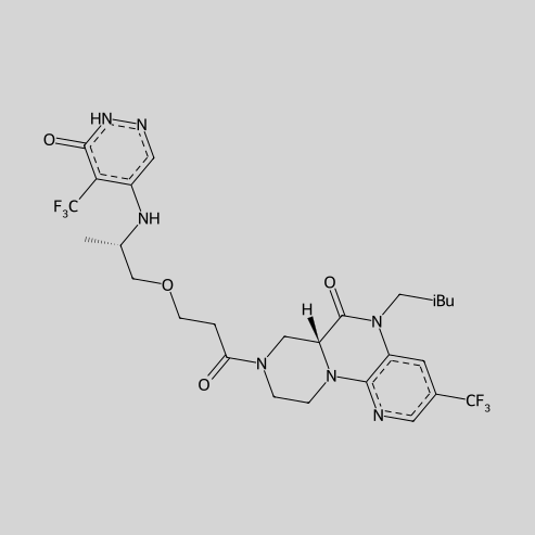 CCC(C)CN1C(=O)[C@H]2CN(C(=O)CCOC[C@H](C)Nc3cn[nH]c(=O)c3C(F)(F)F)CCN2c2ncc(C(F)(F)F)cc21